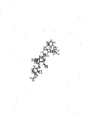 CC(C)(C)[S@@+]([O-])/N=C1\c2cccnc2CC12CCN(c1nc(C#N)c3c(Sc4ccnc(OC5CC5)c4Cl)n[nH]c3n1)CC2